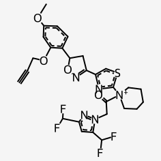 C#CCOc1cc(OC)ccc1C1CC(c2csc([N+]3(C(=O)Cn4nc(C(F)F)cc4C(F)F)CCCCC3)n2)=NO1